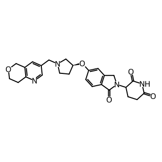 O=C1CCC(N2Cc3cc(O[C@H]4CCN(Cc5cnc6c(c5)COCC6)C4)ccc3C2=O)C(=O)N1